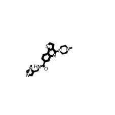 CN1CCN(c2nc3cc(C(=O)NCc4cncn4C)ccc3c3sccc23)CC1